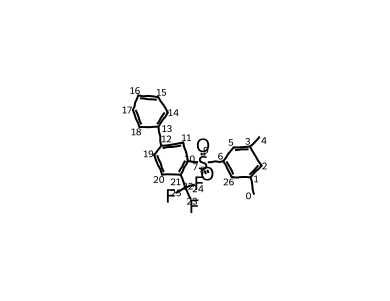 Cc1cc(C)cc(S(=O)(=O)c2cc(-c3ccccc3)ccc2C(F)(F)F)c1